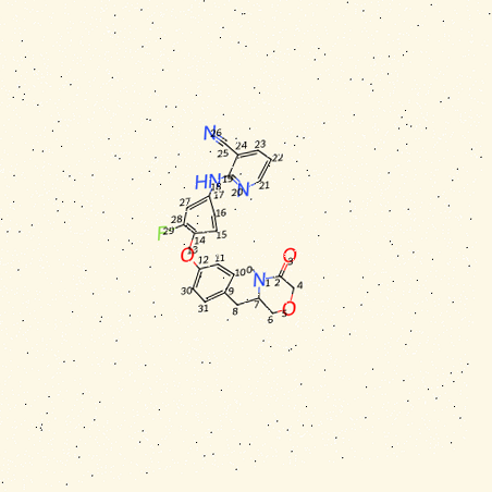 CN1C(=O)COCC1Cc1ccc(Oc2ccc(Nc3ncccc3C#N)cc2F)cc1